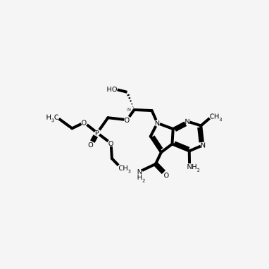 CCOP(=O)(CO[C@H](CO)Cn1cc(C(N)=O)c2c(N)nc(C)nc21)OCC